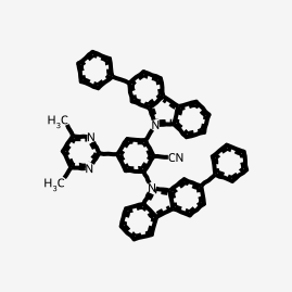 Cc1cc(C)nc(-c2cc(-n3c4ccccc4c4ccc(-c5ccccc5)cc43)c(C#N)c(-n3c4ccccc4c4ccc(-c5ccccc5)cc43)c2)n1